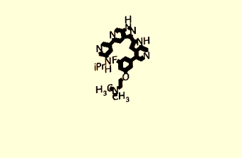 CC(C)Nc1cncc(-c2cc3c(-c4cc5c(-c6cc(F)cc(OCCN(C)C)c6)cncc5[nH]4)n[nH]c3cn2)c1